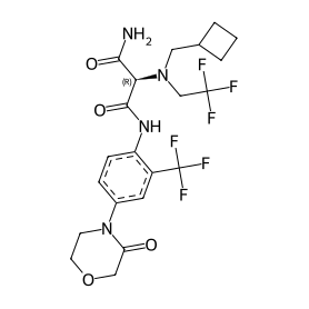 NC(=O)[C@H](C(=O)Nc1ccc(N2CCOCC2=O)cc1C(F)(F)F)N(CC1CCC1)CC(F)(F)F